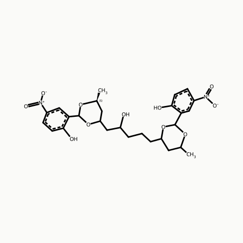 CC1CC(CCCC(O)CC2C[C@H](C)OC(c3cc([N+](=O)[O-])ccc3O)O2)OC(c2cc([N+](=O)[O-])ccc2O)O1